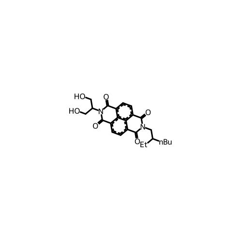 CCCCC(CC)CN1C(=O)c2ccc3c4c(ccc(c24)C1=O)C(=O)N(C(CO)CO)C3=O